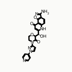 Nc1noc2c1ccc1[nH]c([C@H](O)C3OCCN(c4ccn(-c5ccncc5)n4)C3=O)cc(=O)c12